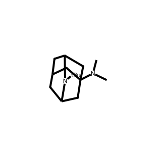 CN(C)C12CC3CC(C1)N(C(C)(C)C)C(C3)C2